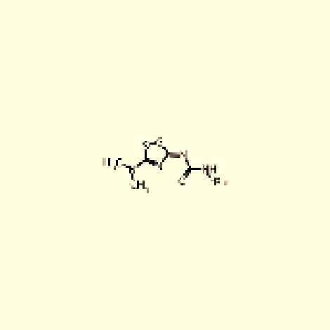 CN(C)c1nc(=NC(=O)NC(C)(C)C)ss1